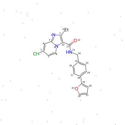 CCc1nc2cc(Cl)ccn2c1C(=O)NCc1ccc(-c2ccco2)cc1